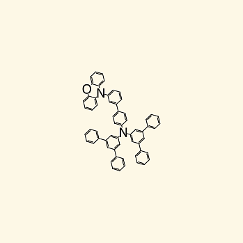 c1ccc(-c2cc(-c3ccccc3)cc(N(c3ccc(-c4cccc(N5c6ccccc6Oc6ccccc65)c4)cc3)c3cc(-c4ccccc4)cc(-c4ccccc4)c3)c2)cc1